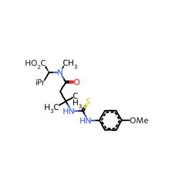 COc1ccc(NC(=S)NC(C)(C)CC(=O)N(C)[C@H](C(=O)O)C(C)C)cc1